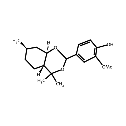 COc1cc(C2O[C@@H]3C[C@H](C)CC[C@H]3C(C)(C)O2)ccc1O